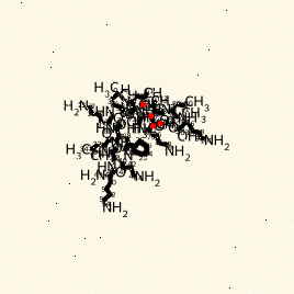 CC(C)C[C@H](NC(=O)[C@H](CCCCN)NC(=O)[C@H](Cc1c[nH]c2ccccc12)NC(=O)[C@H](CC(C)C)NC(=O)[C@H](CCCCN)NC(=O)[C@@H](N)CCCCN)C(=O)N[C@@H](CC(C)C)C(=O)N[C@@H](CC(C)C)C(=O)N[C@@H](CCCCN)C(=O)N[C@H](C(=O)N[C@@H](CC(C)C)C(=O)N[C@@H](CCCCN)C(=O)O)C(C)C